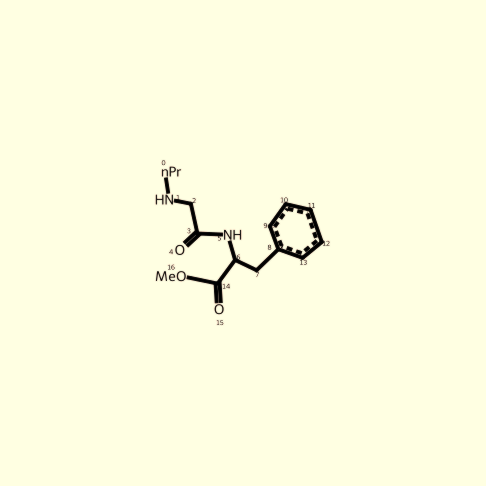 CCCNCC(=O)NC(Cc1ccccc1)C(=O)OC